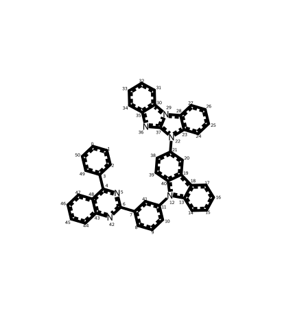 c1ccc(-c2nc(-c3cccc(-n4c5ccccc5c5cc(-n6c7ccccc7n7c8ccccc8nc67)ccc54)c3)nc3ccccc23)cc1